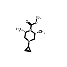 C[C@@H]1CN(C2C=C2)C[C@H](C)N1C(=O)OC(C)(C)C